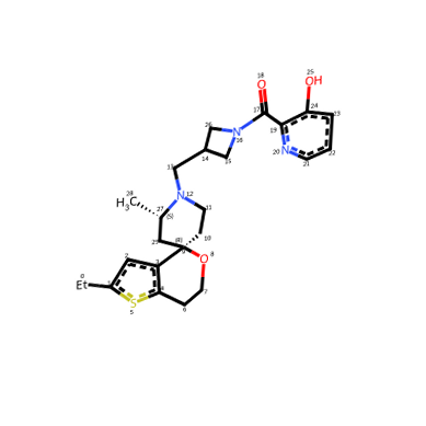 CCc1cc2c(s1)CCO[C@@]21CCN(CC2CN(C(=O)c3ncccc3O)C2)[C@@H](C)C1